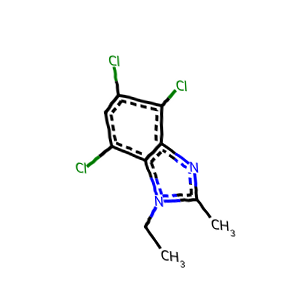 CCn1c(C)nc2c(Cl)c(Cl)cc(Cl)c21